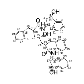 O=C(N[C@H]1C[C@@H](O)c2ccccc21)[C@H](Cc1ccccc1)CC(O)C[C@@H](Cc1ccccc1)C(=O)N[C@H]1C[C@@H](O)c2ccccc21